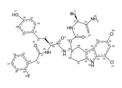 CCC(C)[C@H](NC(=O)O[C@]1(NC(=O)[C@H](CCc2ccc(O)cc2)NC(=O)Cc2ccccc2F)CCc2[nH]c3c(Cl)cc(Cl)cc3c2C1)C(N)=S